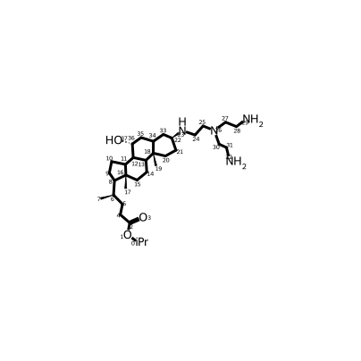 CC(C)OC(=O)CC[C@@H](C)C1CCC2C3C(CC[C@@]21C)[C@@]1(C)CC[C@H](NCCN(CCN)CCN)CC1C[C@H]3O